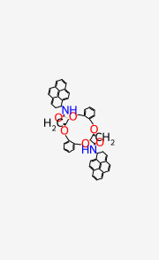 C=C1OCc2ccccc2CO[C@@H](C(=O)NC2CC=c3ccc4cccc5ccc2c3c54)C(=C)OCc2ccccc2COC1C(=O)NC1CC=c2ccc3cccc4ccc1c2c43